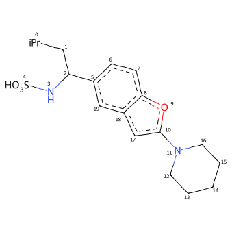 CC(C)CC(NS(=O)(=O)O)c1ccc2oc(N3CCCCC3)cc2c1